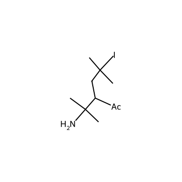 CC(=O)C(CC(C)(C)I)C(C)(C)N